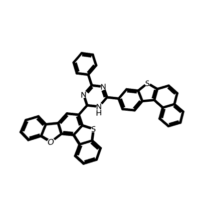 c1ccc(C2=NC(c3cc4c5ccccc5oc4c4c3sc3ccccc34)NC(c3ccc4c(c3)sc3ccc5ccccc5c34)=N2)cc1